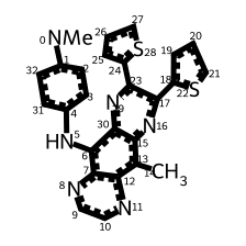 CNc1ccc(Nc2c3nccnc3c(C)c3nc(-c4cccs4)c(-c4cccs4)nc23)cc1